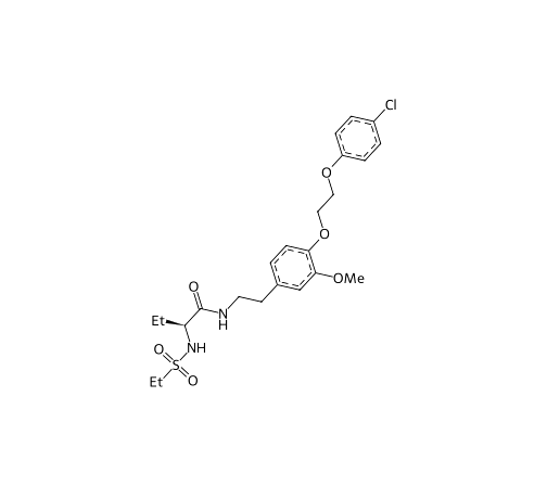 CC[C@H](NS(=O)(=O)CC)C(=O)NCCc1ccc(OCCOc2ccc(Cl)cc2)c(OC)c1